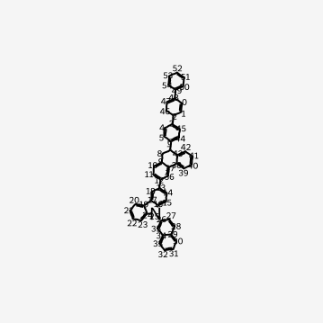 C1=CC(c2ccc(C3Cc4ccc(-c5ccc6c(c5)c5ccccc5n6-c5ccc6ccccc6c5)cc4-c4ccccc43)cc2)CC=C1c1ccccc1